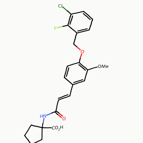 COc1cc(C=CC(=O)NC2(C(=O)O)CCCC2)ccc1OCc1cccc(Cl)c1F